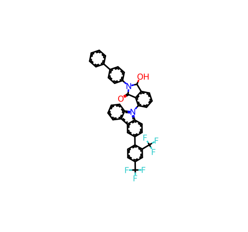 O=C1c2c(cccc2-n2c3ccccc3c3cc(-c4ccc(C(F)(F)F)cc4C(F)(F)F)ccc32)C(O)N1c1ccc(-c2ccccc2)cc1